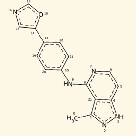 Cc1n[nH]c2ccnc(Nc3ccc(-c4cnco4)cc3)c12